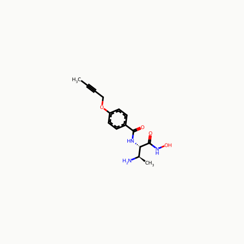 CC#CCOc1ccc(C(=O)N[C@H](C(=O)NO)[C@@H](C)N)cc1